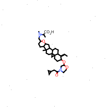 C/C=C1\C(OC2CN(C(=O)CC3CC3)CCO2)CCC23CC24CCC2(C)C5CCC(CN(C)C(C)C(=O)O)OC5CC2C4CCC13